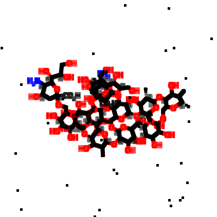 CC1C(O)[C@H](O[C@@H]2OC(CO[C@]3(C(=O)O)C[C@@H](O)[C@@H](N)C([C@H](O)[C@H](O)CO)O3)[C@H](O)C(O)[C@@H]2O)[C@H](CO)O[C@H]1O[C@@H]1C(O)[C@H](O)C(CO)O[C@@H]1OCC1O[C@@H](O[C@@H]2C(CO)O[C@@H](O[C@@H]3C(CO[C@@H]4O[C@@H](C)[C@@H](O)C(O)C4O)O[C@@H](C)C(C)C3O)[C@@H](C)C2O)[C@H](O)C(O[C@H]2O[C@H](CO)[C@@H](O)C(O)C2O[C@@H]2OC(CO)[C@@H](O[C@@H]3OC(CO[C@]4(C(=O)O)C[C@@H](O)[C@@H](N)C([C@H](O)[C@H](O)CO)O4)[C@H](O)C(O)[C@@H]3O)C(O)[C@@H]2C)[C@@H]1O